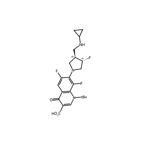 CC(C)(C)n1cc(C(=O)O)c(=O)c2cc(F)c(N3C[C@@H](CNC4CC4)[C@H](F)C3)c(F)c21